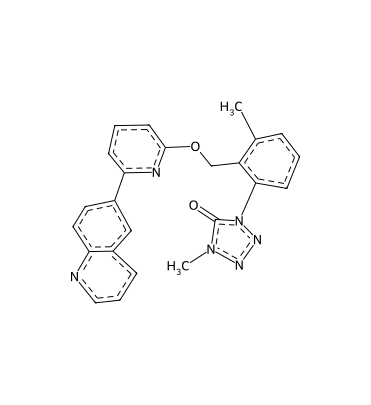 Cc1cccc(-n2nnn(C)c2=O)c1COc1cccc(-c2ccc3ncccc3c2)n1